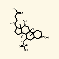 C[C@H](CCC(=O)O)C1CC[C@H]2C3C(NS(=O)(=O)O)CC4C[C@H](O)CCC4(C)[C@H]3C[C@H](O)C12C